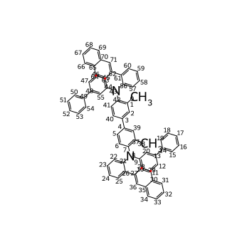 Cc1cc(-c2ccc(N(c3cccc(-c4ccccc4)c3)c3ccccc3-c3ccc4ccccc4c3)c(C)c2)ccc1N(c1cccc(-c2ccccc2)c1)c1ccccc1-c1ccc2ccccc2c1